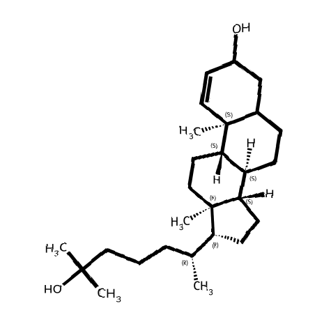 C[C@H](CCCC(C)(C)O)[C@H]1CC[C@H]2[C@@H]3CCC4CC(O)C=C[C@]4(C)[C@H]3CC[C@]12C